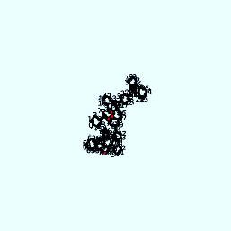 c1ccc(-c2cccc(-c3ccccc3N(c3ccc(-n4c5ccccc5c5ccccc54)cc3)c3ccc4cc(-c5ccc6c(c5)C5(c7ccccc7-6)c6ccccc6-n6c7ccccc7c7cccc5c76)ccc4c3)c2)cc1